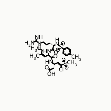 CC/C(C)=C\C(NC(=O)[C@H](CCCNC(=N)N)NS(=O)(=O)c1ccc(C)cc1)C(=O)N[C@H](/C=C(\Cl)S(C)(=O)=O)CC(=O)O